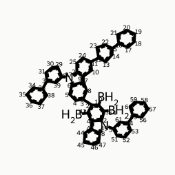 Bc1c(-c2ccc3c(c2)c2cc(-c4ccc(-c5ccccc5)cc4)ccc2n3-c2cccc(-c3ccccc3)c2)c(B)c2c3ccccc3n(-c3cccc(-c4ccccc4)c3)c2c1B